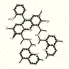 Cc1ccc2c(C)ccc(C(C)NC(C)c3c4[nH]c5c(C(C)NC(C)c6ccc(C)c7ccc(C)nc67)c(O)c(C)cc5c(-c5ccccc5C(=O)O)c-4cc(Cl)c3=O)c2n1